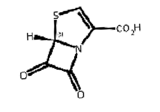 O=C(O)C1=CS[C@H]2C(=O)C(=O)N12